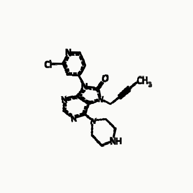 CC#CCn1c(=O)n(-c2ccnc(Cl)c2)c2ncnc(N3CCNCC3)c21